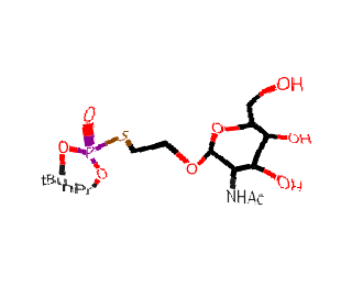 CCCOP(=O)(OC(C)(C)C)SCCOC1OC(CO)C(O)C(O)C1NC(C)=O